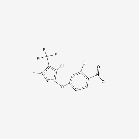 Cn1nc(Oc2ccc([N+](=O)[O-])c([O])c2)c(Cl)c1C(F)(F)F